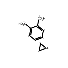 C1CN1.O=C(O)c1ccccc1C(=O)O